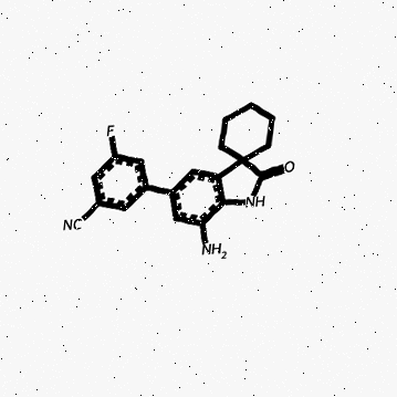 N#Cc1cc(F)cc(-c2cc(N)c3c(c2)C2(CCCCC2)C(=O)N3)c1